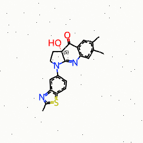 Cc1nc2cc(N3CC[C@@]4(O)C(=O)c5cc(C)c(C)cc5N=C34)ccc2s1